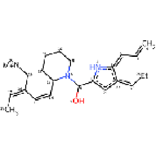 C=C/C=c1/[nH]c(C(O)N2CCCCC2/C=C\C(=C/C)CNC)c/c1=C/CC